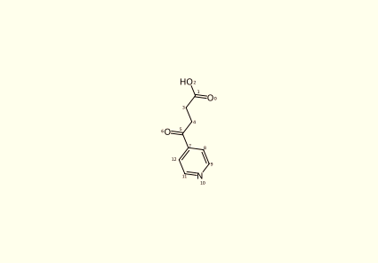 O=C(O)CCC(=O)c1ccncc1